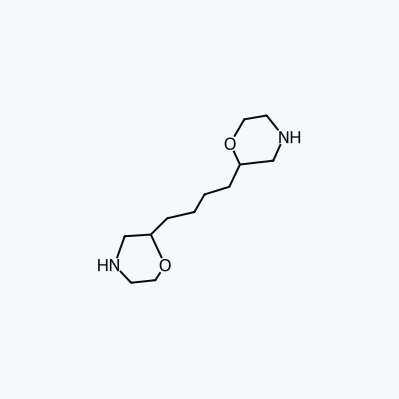 C(CCC1CNCCO1)CC1CNCCO1